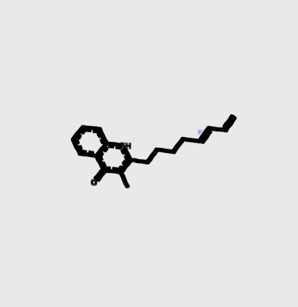 C=C/C=C/CCCCc1[nH]c2ccccc2c(=O)c1C